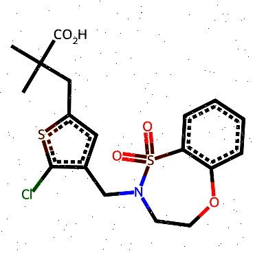 CC(C)(Cc1cc(CN2CCOc3ccccc3S2(=O)=O)c(Cl)s1)C(=O)O